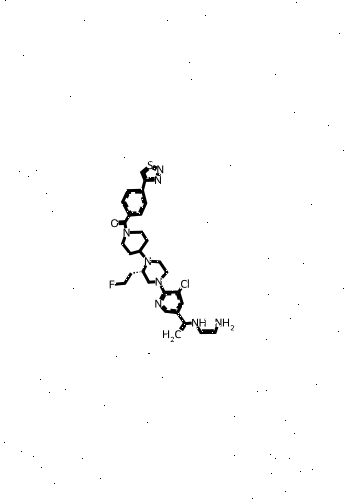 C=C(N/C=C\N)c1cnc(N2CCN(C3CCN(C(=O)c4ccc(-c5csnn5)cc4)CC3)[C@@H](CCF)C2)c(Cl)c1